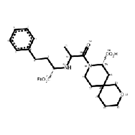 CCOC(=O)[C@H](CCc1ccccc1)NC(C)C(=O)N1CCC2(CCCOC2)C[C@H]1C(=O)O